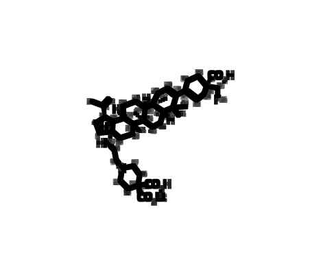 C=C(C)[C@@H]1CC[C@]2(NCCN3CCC(C(=O)O)(C(=O)OCC)CC3)CC[C@]3(C)[C@H](CC[C@@H]4[C@@]5(C)CC=C(C6=CC[C@@](CF)(C(=O)O)CC6)C(C)(C)[C@@H]5CC[C@]43C)[C@@H]12